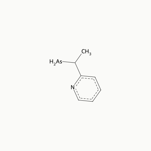 CC([AsH2])c1ccccn1